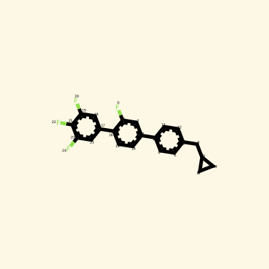 Fc1cc(-c2ccc(CC3CC3)cc2)ccc1-c1cc(F)c(F)c(F)c1